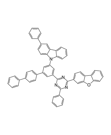 c1ccc(-c2ccc(-c3cc(-c4nc(-c5ccccc5)nc(-c5ccc6c(c5)oc5ccccc56)n4)cc(-n4c5ccccc5c5cc(-c6ccccc6)ccc54)c3)cc2)cc1